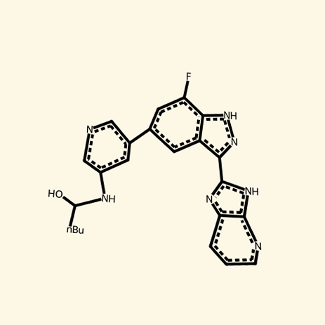 CCCCC(O)Nc1cncc(-c2cc(F)c3[nH]nc(-c4nc5cccnc5[nH]4)c3c2)c1